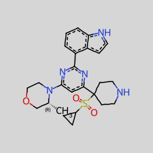 C[C@@H]1COCCN1c1cc(C2(S(=O)(=O)C3CC3)CCNCC2)nc(-c2cccc3[nH]ccc23)n1